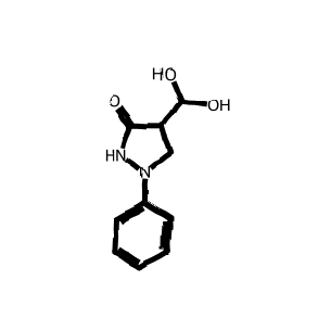 O=C1NN(c2ccccc2)CC1C(O)O